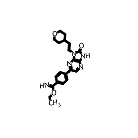 CCOC(=N)c1ccc(-c2cnc3[nH]c(=O)n(CCC4CCOCC4)c3n2)cc1